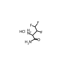 Cl.NC(=O)C(N)C(F)C(F)F